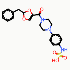 O=C(C1=COC(Cc2ccccc2)O1)N1CCN(c2ccc(NS(=O)(=O)O)cc2)CC1